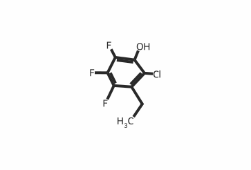 CCc1c(F)c(F)c(F)c(O)c1Cl